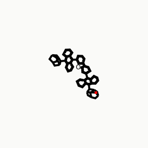 c1ccc2c(C3C4CC5CC(C4)CC3C5)c3ccccc3c(-c3ccc4c(c3)oc3c(-c5c6ccccc6c(C6C7CC8CC(C7)CC6C8)c6ccccc56)cccc34)c2c1